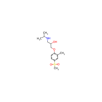 Cc1cc(S(C)(=O)=O)ccc1OCC(O)CNC(C)C